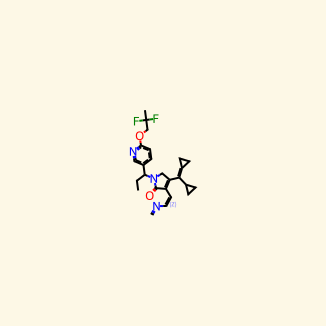 C=N/C=C\C1=C(C(=C2CC2)C2CC2)CN(C(CC)c2ccc(OCC(C)(F)F)nc2)C1=O